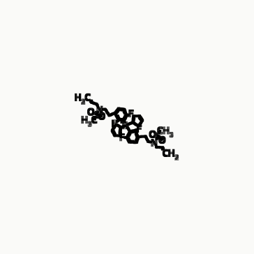 C=CCN(CCc1ccc(F)[c]([Ti]([C]2=CC=CC2)([C]2=CC=CC2)[c]2c(F)ccc(CCN(CC=C)S(C)(=O)=O)c2F)c1F)S(C)(=O)=O